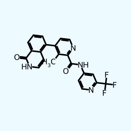 Cc1c(-c2cccc3c(=O)[nH]ccc23)ccnc1C(=O)Nc1ccnc(C(F)(F)F)c1